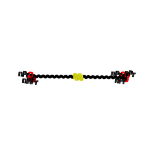 CCCO[Si](CCCCCCCCCCCCCCCCC=CSSSSC=CCCCCCCCCCCCCCCCC[Si](OCCC)(OCCC)OCCC)(OCCC)OCCC